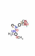 COc1ccc(NC(=O)CN(Cc2ccc(SC(C)(C)C(=O)O)cc2)Cc2cccs2)c(C)c1